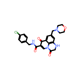 O=C(NCc1ccc(Cl)cc1)c1cn2c3c(cc(CN4CCOCC4)cc3c1=O)NCC2=O